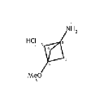 COC12CC(N)(C1)C2.Cl